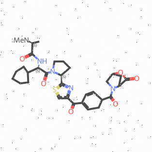 CN[C@@H](C)C(=O)N[C@H](C(=O)N1CCC[C@H]1c1nc(C(=O)C2=CCC(C(=O)N3CC4CC3C(=O)O4)C=C2)cs1)C1CCCCC1